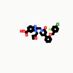 O=C(O)c1ccc2nc(CN3CCC(c4ccccc4OCc4ccc(Cl)cc4F)=CC3=O)n(CC3CCO3)c2c1